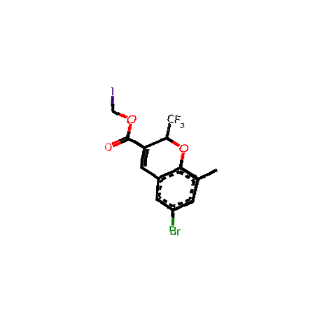 Cc1cc(Br)cc2c1OC(C(F)(F)F)C(C(=O)OCI)=C2